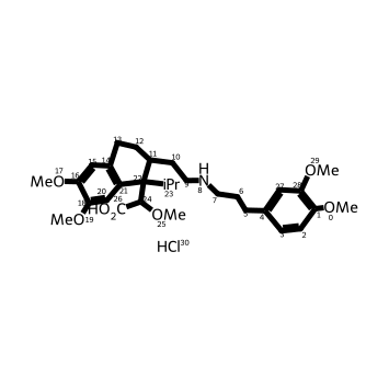 COc1ccc(CCCNCCC2CCc3cc(OC)c(OC)cc3C2(C(C)C)C(OC)C(=O)O)cc1OC.Cl